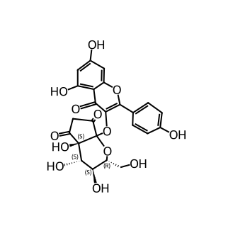 O=C1CC(=O)[C@@]2(O)[C@@H](O)[C@H](O)[C@@H](CO)OC12Oc1c(-c2ccc(O)cc2)oc2cc(O)cc(O)c2c1=O